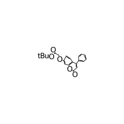 CC(C)(C)OC(=O)COc1ccc2c(-c3ccccc3)cc(=O)oc2c1